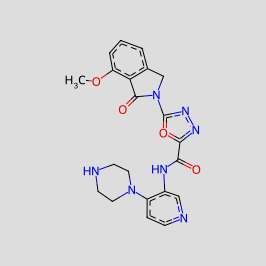 COc1cccc2c1C(=O)N(c1nnc(C(=O)Nc3cnccc3N3CCNCC3)o1)C2